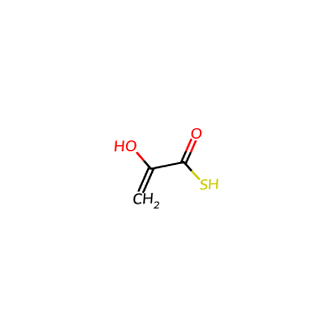 C=C(O)C(=O)S